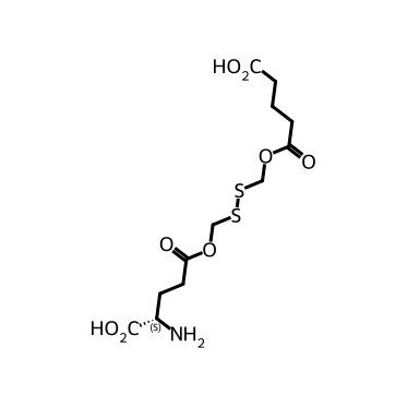 N[C@@H](CCC(=O)OCSSCOC(=O)CCCC(=O)O)C(=O)O